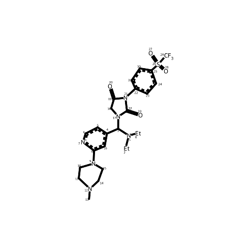 CCN(CC)C(c1ccnc(N2CCN(C)CC2)c1)N1CC(=O)N(c2ccc(S(=O)(=O)C(F)(F)F)cc2)C1=O